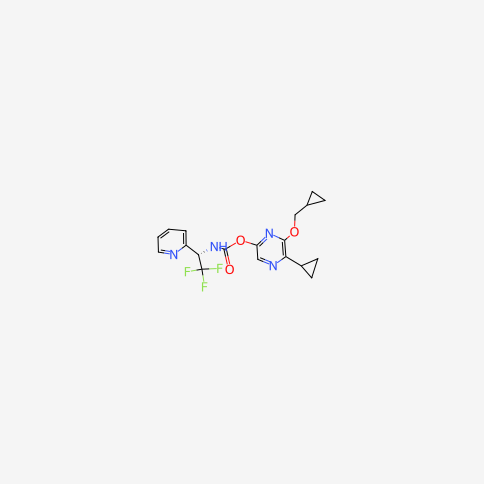 O=C(N[C@@H](c1ccccn1)C(F)(F)F)Oc1cnc(C2CC2)c(OCC2CC2)n1